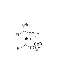 CCCCC(CC)C(=O)O.CCCCC(CC)C(=O)O.[Co].[Co]